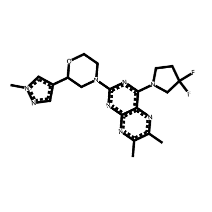 Cc1nc2nc(N3CCOC(c4cnn(C)c4)C3)nc(N3CCC(F)(F)C3)c2nc1C